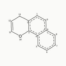 [c]1cc2c(c3ccccc13)OC=CC2